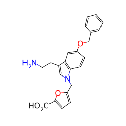 NCCc1cn(Cc2ccc(C(=O)O)o2)c2ccc(OCc3ccccc3)cc12